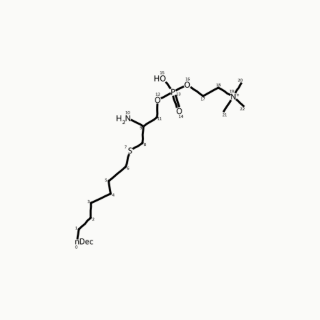 CCCCCCCCCCCCCCCCSCC(N)COP(=O)(O)OCC[N+](C)(C)C